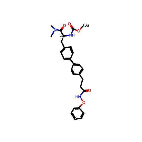 CN(C)C(=O)[C@H](Cc1ccc(-c2ccc(CCC(=O)NOc3ccccc3)cc2)cc1)NC(=O)OC(C)(C)C